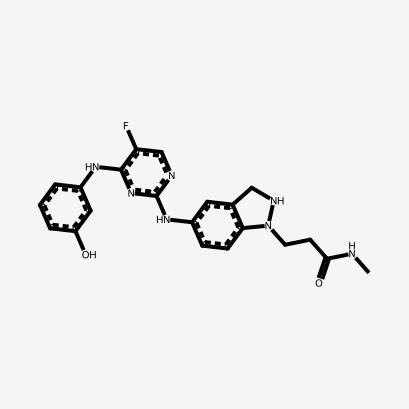 CNC(=O)CCN1NCc2cc(Nc3ncc(F)c(Nc4cccc(O)c4)n3)ccc21